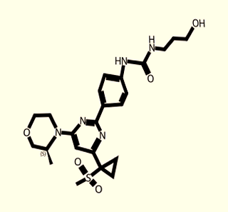 C[C@H]1COCCN1c1cc(C2(S(C)(=O)=O)CC2)nc(-c2ccc(NC(=O)NCCCO)cc2)n1